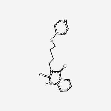 O=c1[nH]c2ccccc2c(=O)n1CCCCSc1ccncc1